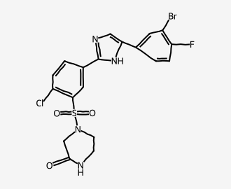 O=C1CN(S(=O)(=O)c2cc(-c3ncc(-c4ccc(F)c(Br)c4)[nH]3)ccc2Cl)CCN1